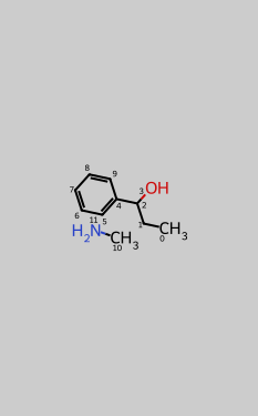 CCC(O)c1ccccc1.CN